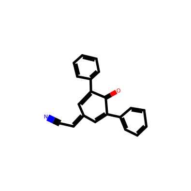 N#CC=C1C=C(c2ccccc2)C(=O)C(c2ccccc2)=C1